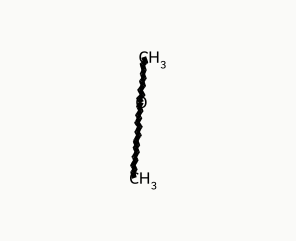 CCCCCCCCC=CCCCCCCCCOCCCCCCCCCCC